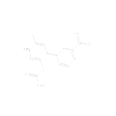 CC1=CC(c2cccc([N+](=O)[O-])c2)C(OC(=O)O)=NN1